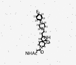 CC(=O)NCC(=O)N1CCC2(CC1)CC(CCN1CCN(c3ccc(F)cc3)CC1)NC2=O